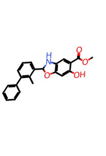 COC(=O)c1cc2c(cc1O)OC(c1cccc(-c3ccccc3)c1C)N2